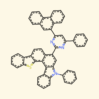 c1ccc(-c2cc(-c3cc4ccccc4c4ccccc34)nc(-c3cc4c(c5ccccc5n4-c4ccccc4)c4c3ccc3c5ccccc5sc34)n2)cc1